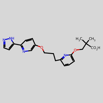 CC(C)(COc1cccc(CCCOc2ccc(-c3ccn[nH]3)nc2)n1)C(=O)O